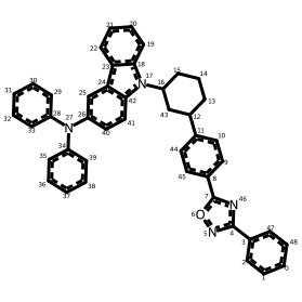 c1ccc(-c2noc(-c3ccc(C4CCCC(n5c6ccccc6c6cc(N(c7ccccc7)c7ccccc7)ccc65)C4)cc3)n2)cc1